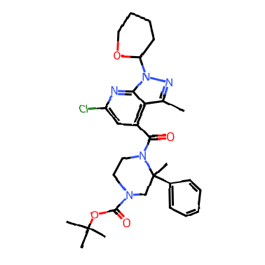 Cc1nn(C2CCCCO2)c2nc(Cl)cc(C(=O)N3CCN(C(=O)OC(C)(C)C)CC3(C)c3ccccc3)c12